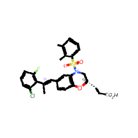 C/C(=C\c1ccc2c(c1)N(S(=O)(=O)c1cccc(C)c1C)C[C@H](CCC(=O)O)O2)c1c(F)cccc1Cl